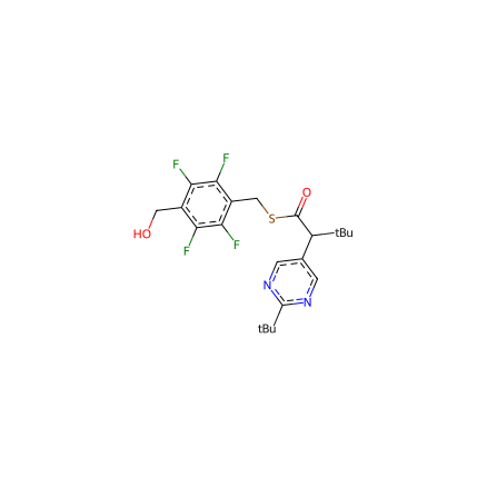 CC(C)(C)c1ncc(C(C(=O)SCc2c(F)c(F)c(CO)c(F)c2F)C(C)(C)C)cn1